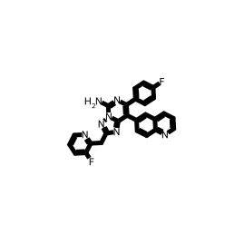 Nc1nc(-c2ccc(F)cc2)c(-c2ccc3ncccc3c2)c2nc(Cc3ncccc3F)nn12